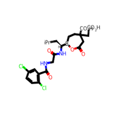 CC(C)C[C@H](NC(=O)CNC(=O)c1cc(Cl)ccc1Cl)B1CCC(CC(=O)O)(C(=O)O)CC(=O)O1